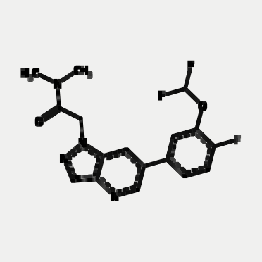 CN(C)C(=O)Cn1ncc2ncc(-c3ccc(F)c(OC(F)F)c3)cc21